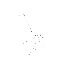 C=CCOP(=O)(OCC)O[C@H]1[C@H](OCC[C@@H](CCCCCCC)OC)[C@H](NC(=O)CCCCCCCCC/C=C\CCCCCC)[C@@H](OC(=N)C(Cl)(Cl)Cl)O[C@@H]1COC